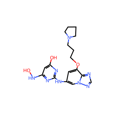 ONc1cc(O)nc(Nc2cc(OCCCN3CCCC3)c3ncnn3c2)n1